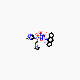 Cn1cc(N(CCN2CCC2)S(=O)(=O)[NH+]([O-])C(=O)Nc2c3c(cc4c2CCC4)CCC3)cn1